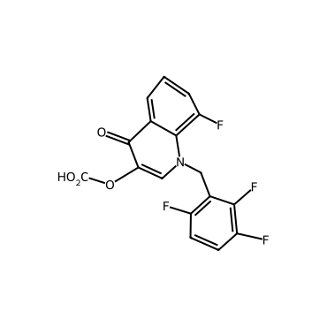 O=C(O)Oc1cn(Cc2c(F)ccc(F)c2F)c2c(F)cccc2c1=O